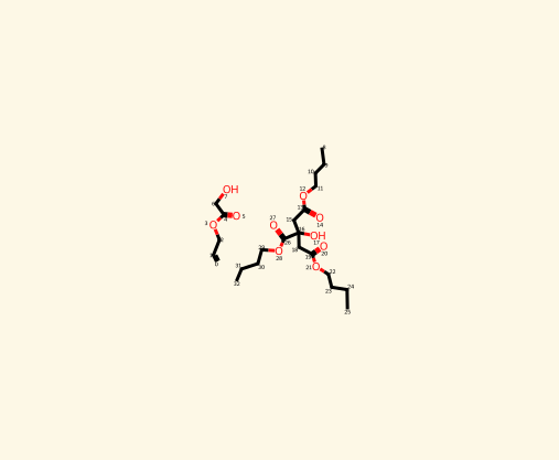 C=CCOC(=O)CO.CCCCOC(=O)CC(O)(CC(=O)OCCCC)C(=O)OCCCC